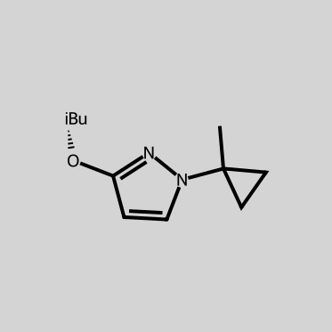 CC[C@@H](C)Oc1ccn(C2(C)CC2)n1